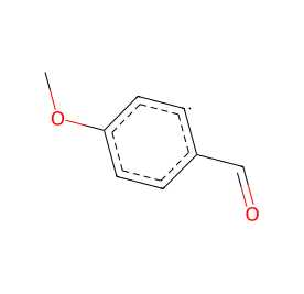 COc1c[c]c(C=O)cc1